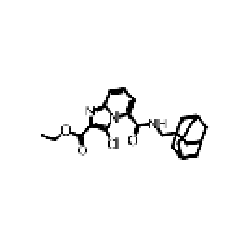 CCOC(=O)c1nc2cccc(C(=O)NCC34CC5CC(CC(C5)C3)C4)n2c1Cl